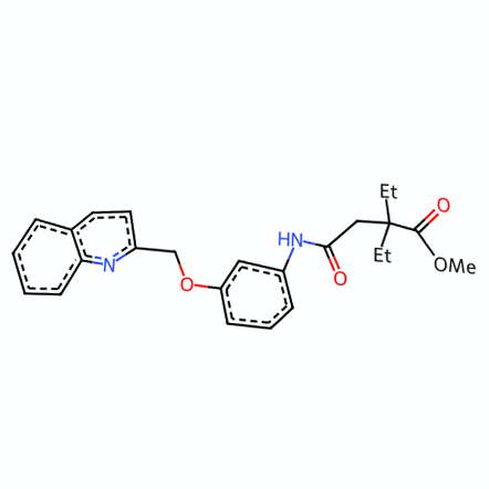 CCC(CC)(CC(=O)Nc1cccc(OCc2ccc3ccccc3n2)c1)C(=O)OC